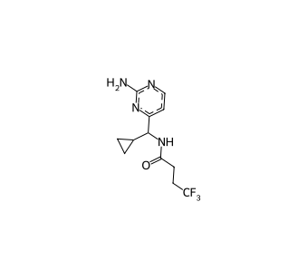 Nc1nccc(C(NC(=O)CCC(F)(F)F)C2CC2)n1